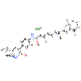 CC(=O)NC(CC(C(N)=O)c1ccc(NC(=O)/C=C(C)/C=C/C=C(C)/C=C/C2=C(C)CCCC2(C)C)cc1)C(=O)O.Cl